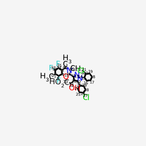 Cc1c(F)cc([C@@H](C)N(C)C(=O)c2nn(-c3ccccc3Cl)c(-c3ccc(Cl)cc3)c2C(O)C(=O)O)c(F)c1F